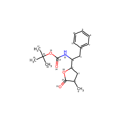 CC1CC(C(Cc2ccccc2)NC(=O)OC(C)(C)C)OC1=O